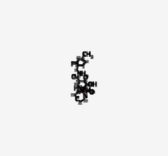 Cc1ccc(CNC(=O)c2cn3c(c(O)c2=O)C(=O)N2CCCC[C@@H]3[C@@H]2C)c(F)c1